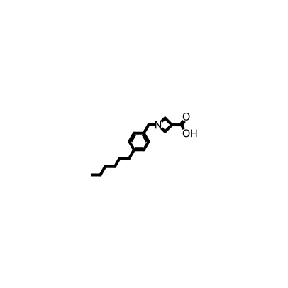 CCCCCCc1ccc(CN2CC(C(=O)O)C2)cc1